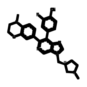 CN1CC[C@H](Cn2cnc3c(-c4ccc(C#N)c(F)c4)c(-c4ccc5c(c4)OCCN5C)ncc32)C1